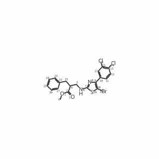 COC(=O)C(CNc1nc(-c2ccc(Cl)c(Cl)c2)c(Br)s1)Cc1ccccc1